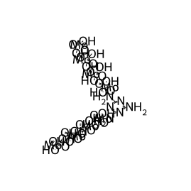 Nc1nc(N)nc(N)n1.[O]=[Mo](=[O])([OH])[OH].[O]=[Mo](=[O])([OH])[OH].[O]=[Mo](=[O])([OH])[OH].[O]=[Mo](=[O])([OH])[OH].[O]=[Mo](=[O])([OH])[OH].[O]=[Mo](=[O])([OH])[OH].[O]=[Mo](=[O])([OH])[OH].[O]=[Mo](=[O])([OH])[OH]